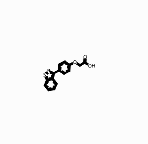 O=C(O)COc1ccc(-c2nsc3ccccc23)cc1